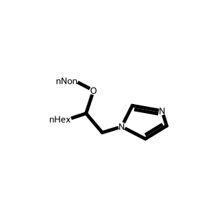 CCCCCCCCCOC(CCCCCC)Cn1ccnc1